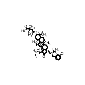 CC(=O)N(CC[C@@]12CC[C@]3(C)[C@H](CCC4[C@@]5(C)CC[C@H](OC(=O)CC(C)(C)C(=O)O)C(C)(C)C5CC[C@]43C)C1=C(C(C)C)C(=O)C2)Cc1cccc(Cl)c1